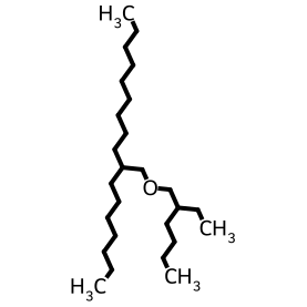 CCCCCCCCCC(CCCCCCC)COCC(CC)CCCC